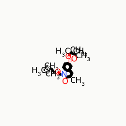 Cc1cc2cc(B3OC(C)(C)C(C)(C)O3)ccc2n(COCC[Si](C)(C)C)c1=O